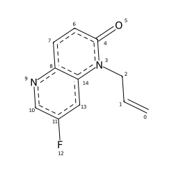 C=CCn1c(=O)ccc2ncc(F)cc21